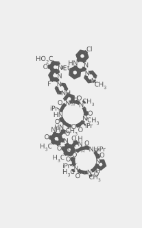 CCn1cc(C(=O)O)c(=O)c2cc(F)c(N3CCNCC3)nc21.CN1CCN(C2=Nc3cc(Cl)ccc3Nc3ccccc32)CC1.Cc1c2oc3c(C)ccc(C(=O)N[C@@H]4C(=O)N[C@H](C(C)C)C(=O)N5CCC[C@H]5C(=O)N(C)CC(=O)N(C)[C@@H](C(C)C)C(=O)O[C@@H]4C)c3nc-2c(C(=O)N[C@@H]2C(=O)N[C@H](C(C)C)C(=O)N3CCC[C@H]3C(=O)N(C)CC(=O)N(C)[C@@H](C(C)C)C(=O)O[C@@H]2C)c(N)c1=O